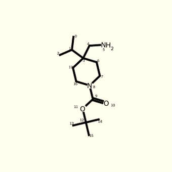 CC(C)C1(CN)CCN(C(=O)OC(C)(C)C)CC1